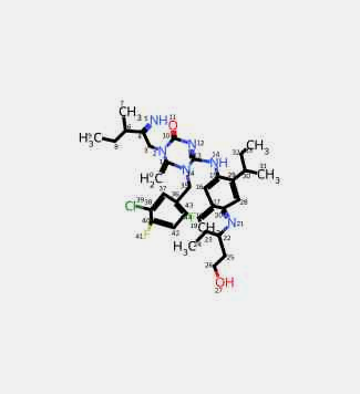 C=C1N(CC(=N)C(C)CC)C(=O)N=C(NC2=CC(=C/C)/C(=N\C(CC)CCO)C=C2C(C)CC)N1Cc1cc(Cl)c(F)cc1F